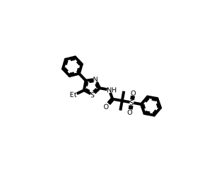 CCc1sc(NC(=O)C(C)(C)S(=O)(=O)c2ccccc2)nc1-c1ccccc1